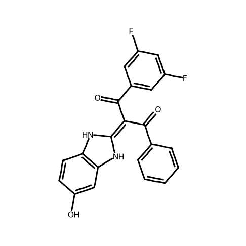 O=C(C(C(=O)c1cc(F)cc(F)c1)=C1Nc2ccc(O)cc2N1)c1ccccc1